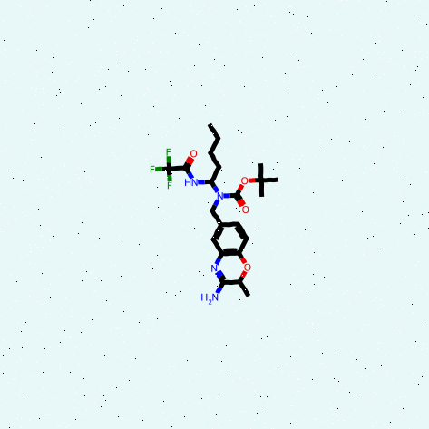 CCCCC(NC(=O)C(F)(F)F)N(Cc1ccc2c(c1)N=C(N)C(C)O2)C(=O)OC(C)(C)C